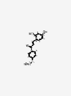 CCCCCCCCCCSc1ccc(C(=O)C=Cc2ccc(O)cc2O)cc1